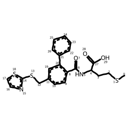 CSCCC(NC(=O)c1ccc(CSc2nccs2)cc1-c1ccccc1)C(=O)O